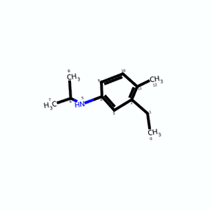 CCc1cc(NC(C)C)ccc1C